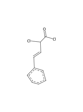 O=C(Cl)C(Cl)/C=C/c1ccccc1